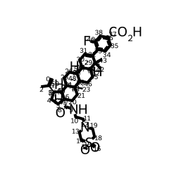 C=C(C)[C@@H]1CC[C@]2(C(=O)NCCN3CCS(=O)(=O)CC3)CC[C@]3(C)[C@H](CC[C@@H]4[C@@]5(C)CC=C(c6ccc(C(=O)O)cc6F)C(C)(C)[C@@H]5CC[C@]43C)[C@@H]12